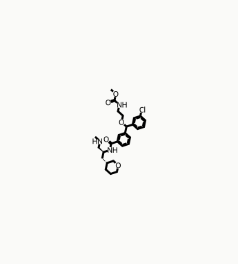 CNC[C@H](C[C@H]1CCCOC1)NC(=O)c1cccc(C(OCCNC(=O)OC)c2cccc(Cl)c2)c1